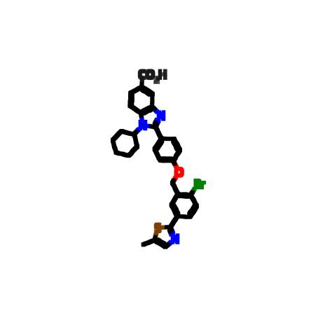 Cc1cnc(-c2ccc(Br)c(COc3ccc(-c4nc5cc(C(=O)O)ccc5n4C4CCCCC4)cc3)c2)s1